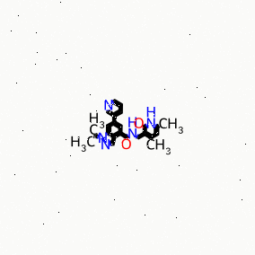 Cc1cc(C)c(CNC(=O)c2cc(-c3cccnc3)cc3c2cnn3C(C)C)c(=O)[nH]1